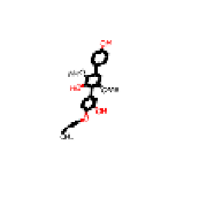 C=CC#COc1ccc(-c2c(OC)cc(-c3ccc(O)cc3)c(OC)c2O)cc1O